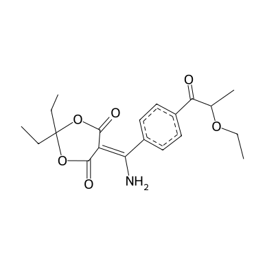 CCOC(C)C(=O)c1ccc(C(N)=C2C(=O)OC(CC)(CC)OC2=O)cc1